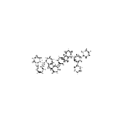 c1ccc(-c2nc(-c3ccccc3)nc(-c3cccc4c3sc3cc(-c5cccc6oc7c(C8c9ccccc9-c9ccccc98)cccc7c56)ccc34)n2)cc1